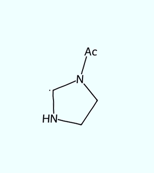 CC(=O)N1[CH]NCC1